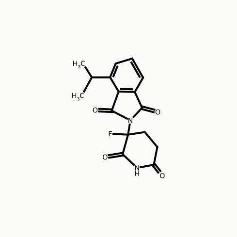 CC(C)c1cccc2c1C(=O)N(C1(F)CCC(=O)NC1=O)C2=O